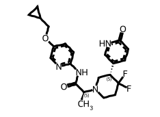 C[C@@H](C(=O)Nc1ccc(OCC2CC2)cn1)N1CCC(F)(F)[C@@H](c2ccc(=O)[nH]c2)C1